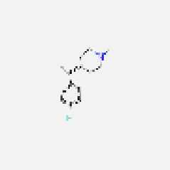 CC(=C1CCN(C)CC1)c1ccc(F)cc1